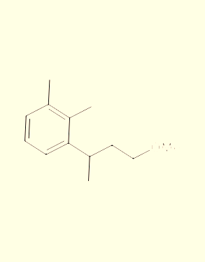 [CH2]C(CCOC)c1cccc(C)c1C